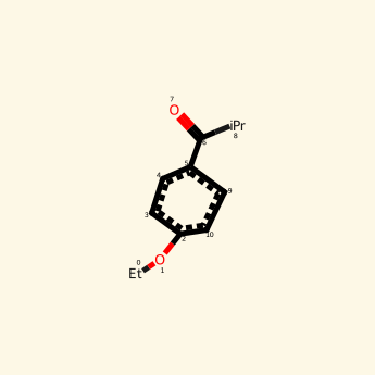 CCOc1ccc(C(=O)C(C)C)cc1